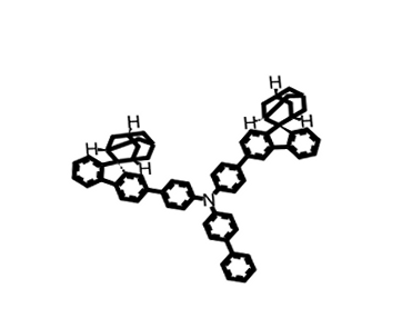 c1ccc(-c2ccc(N(c3ccc(-c4ccc5c(c4)-c4ccccc4[C@]54[C@@H]5CC6C[C@@H](C5)C[C@@H]4C6)cc3)c3ccc(-c4ccc5c(c4)[C@]4(c6ccccc6-5)[C@H]5CC6C[C@H](C5)C[C@@H]4C6)cc3)cc2)cc1